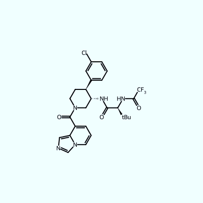 CC(C)(C)[C@H](NC(=O)C(F)(F)F)C(=O)N[C@@H]1CN(C(=O)c2cccn3cncc23)CC[C@H]1c1cccc(Cl)c1